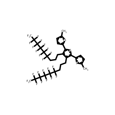 Cc1ccc(-c2sc(-c3ccc(C)s3)c(CCCC(F)(F)C(F)(F)C(F)(F)C(F)(F)C(F)(F)C(F)(F)F)c2CCCC(F)(F)C(F)(F)C(F)(F)C(F)(F)C(F)(F)C(F)(F)F)s1